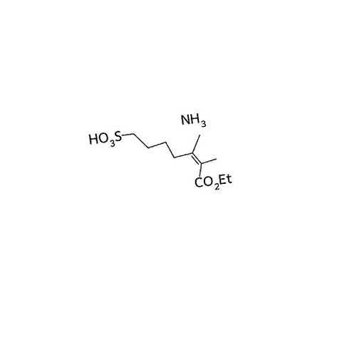 CCOC(=O)C(C)=C(C)CCCCS(=O)(=O)O.N